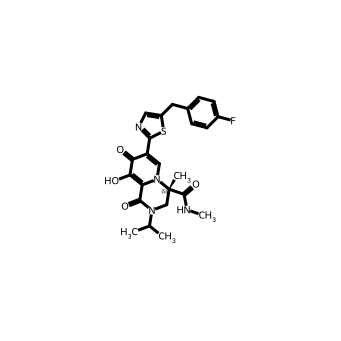 CNC(=O)[C@]1(C)CN(C(C)C)C(=O)c2c(O)c(=O)c(-c3ncc(Cc4ccc(F)cc4)s3)cn21